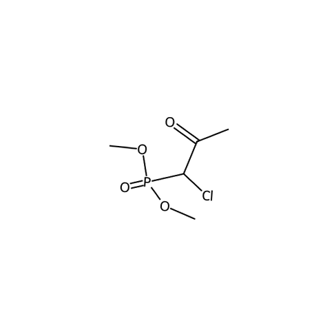 COP(=O)(OC)C(Cl)C(C)=O